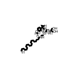 CC/C=C\C/C=C\C/C=C\C/C=C\C/C=C\C/C=C\CCC(=O)NCCSSC(C)(C)[C@@H](CNC(CO)CO)NC(=O)C1(c2ccc3c(c2)OC(F)(F)O3)CC1